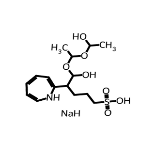 CC(O)OC(C)OC(O)C(CCCS(=O)(=O)O)C1=CC=CC=CN1.[NaH]